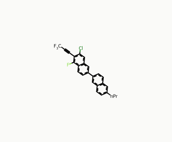 CCCc1ccc2cc(-c3ccc4c(F)c(C#CC(F)(F)F)c(Cl)cc4c3)ccc2c1